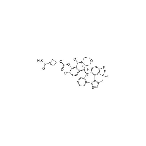 CC(=O)N1CC(OC(=O)Oc2c3n(ccc2=O)N([C@@H]2c4ccccc4-c4scc5c4-c4c2ccc(F)c4C(F)(F)C5)[C@@H]2COCCN2C3=O)C1